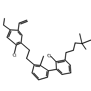 C=Cc1cc(CCc2cccc(-c3cccc(CCCC(C)(C)C)c3Cl)c2C)c(Cl)cc1CC